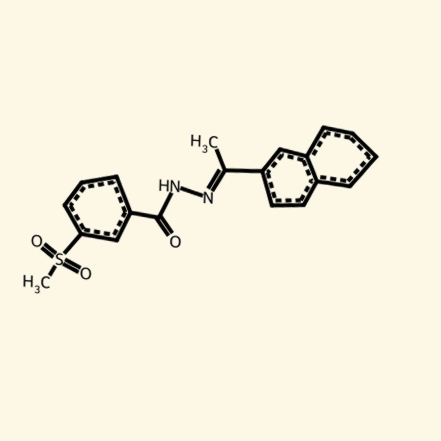 CC(=NNC(=O)c1cccc(S(C)(=O)=O)c1)c1ccc2ccccc2c1